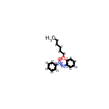 CCCCCCOc1ccccc1N=[N+]([O-])c1ccccc1